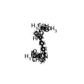 COC(=O)N[C@H](CC(=O)N1CCC[C@H]1c1ncc(-c2ccc(-c3ccc(-c4cnc([C@@H]5CCCN5C(=O)C[C@@H](NC5OCO5)C(C)C)[nH]4)cc3)cc2)[nH]1)C(C)C